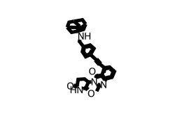 Cc1nc2cccc(C#Cc3ccc(CNC45CC6CC(CC(C6)C4)C5)cc3)c2c(=O)n1C1CCC(=O)NC1=O